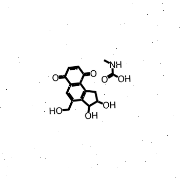 CNC(=O)O.O=C1C=CC(=O)c2c1cc(CO)c1c2CC(O)C1O